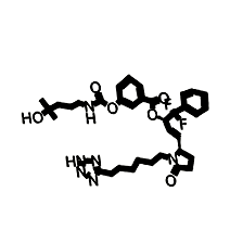 CC(C)(O)CCCNC(=O)Oc1cccc(C(=O)O[C@H](/C=C/[C@H]2CCC(=O)N2CCCCCCc2nn[nH]n2)C(F)(F)c2ccccc2)c1